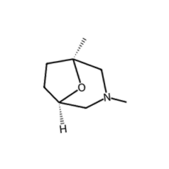 CN1C[C@H]2CC[C@@](C)(C1)O2